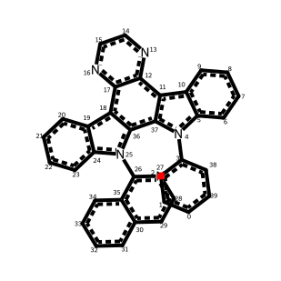 c1ccc(-n2c3ccccc3c3c4nccnc4c4c5ccccc5n(-c5nccc6ccccc56)c4c32)cc1